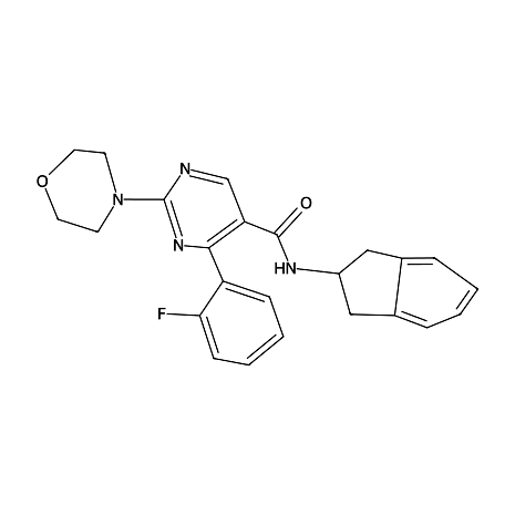 O=C(NC1Cc2ccccc2C1)c1cnc(N2CCOCC2)nc1-c1ccccc1F